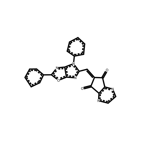 O=C1C(=Cc2nc3oc(-c4ccccc4)nc3n2-c2ccccc2)C(=O)c2nccnc21